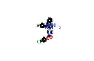 Nc1nc(N2CCN(C(=O)COc3ccc(Cl)cc3)CC2)c2nc(-c3ccc(F)cc3)n(Cc3ccccc3)c2n1